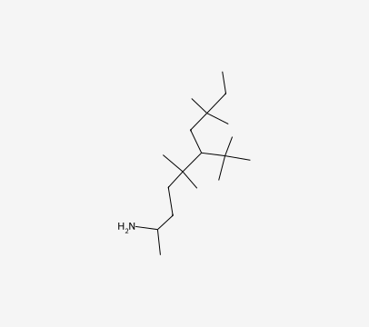 CCC(C)(C)CC(C(C)(C)C)C(C)(C)CCC(C)N